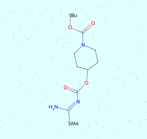 CSC(N)=NC(=O)OC1CCN(C(=O)OC(C)(C)C)CC1